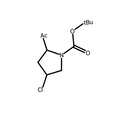 CC(=O)C1CC(Cl)CN1C(=O)OC(C)(C)C